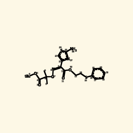 CC(C)(C)OC(=O)C(C)(C)O/N=C(\C(=O)OCCSc1ccccc1)c1csc(N)n1